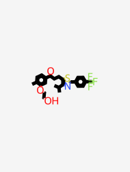 Cc1ccc(C(=O)CCc2sc(-c3ccc(C(F)(F)F)cc3)nc2C(C)C)cc1OCCO